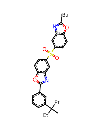 CCC(C)c1nc2cc(S(=O)(=O)c3ccc4oc(-c5cccc(C(C)(CC)CC)c5)nc4c3)ccc2o1